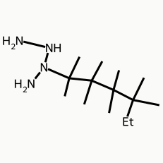 CCC(C)(C)C(C)(C)C(C)(C)C(C)(C)N(N)NN